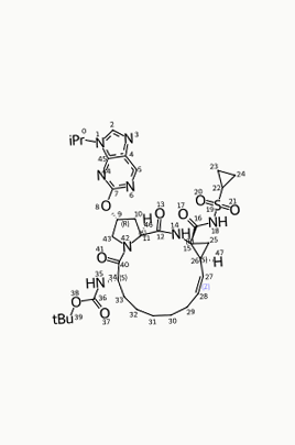 CC(C)n1cnc2cnc(O[C@@H]3C[C@H]4C(=O)N[C@]5(C(=O)NS(=O)(=O)C6CC6)C[C@H]5/C=C\CCCCC[C@H](NC(=O)OC(C)(C)C)C(=O)N4C3)nc21